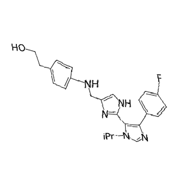 CC(C)n1cnc(-c2ccc(F)cc2)c1-c1nc(CNc2ccc(CCO)cc2)c[nH]1